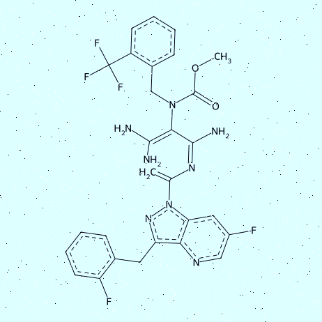 C=C(/N=C(/N)C(=C(N)N)N(Cc1ccccc1C(F)(F)F)C(=O)OC)n1nc(Cc2ccccc2F)c2ncc(F)cc21